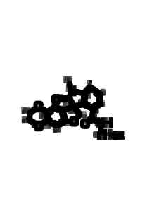 CCCCCCNC(=O)c1cccc2c1C1(COc3cc4c(cc31)OCCO4)C(=O)N2C